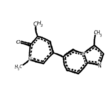 Cc1cc(-c2ccc3ncc(C)n3c2)cn(C)c1=O